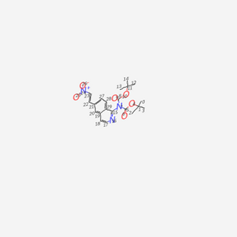 CC(C)(C)OC(=O)N(C(=O)OC(C)(C)C)c1nccc2cc(C=C[N+](=O)[O-])ccc12